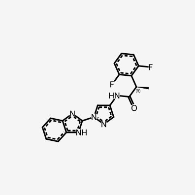 C[C@@H](C(=O)Nc1cnn(-c2nc3ccccc3[nH]2)c1)c1c(F)cccc1F